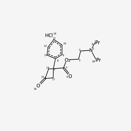 CC(C)N(CCOC(=O)C1(c2ccccc2)CC(=O)C1)C(C)C.Cl